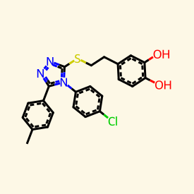 Cc1ccc(-c2nnc(SCCc3ccc(O)c(O)c3)n2-c2ccc(Cl)cc2)cc1